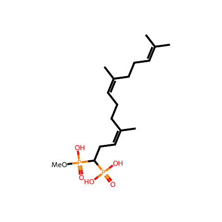 COP(=O)(O)C(CC=C(C)CCC=C(C)CCC=C(C)C)P(=O)(O)O